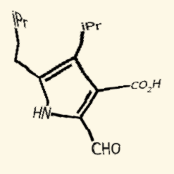 CC(C)Cc1[nH]c(C=O)c(C(=O)O)c1C(C)C